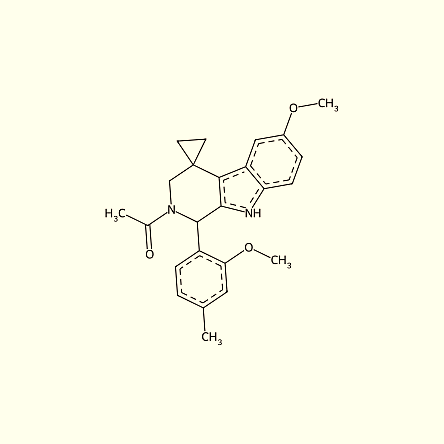 COc1ccc2[nH]c3c(c2c1)C1(CC1)CN(C(C)=O)C3c1ccc(C)cc1OC